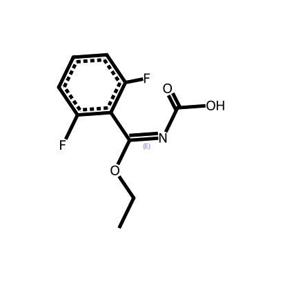 CCO/C(=N/C(=O)O)c1c(F)cccc1F